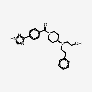 O=C(c1ccc(-c2nc[nH]n2)cc1)N1CCC(N(CCO)CCc2ccccc2)CC1